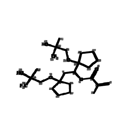 C=C(C)C(=O)OC(CC1(OCC(C)(O)C(F)(F)F)CCCC1)C1(OCC(C)(O)C(F)(F)F)CCCC1